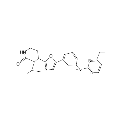 CCc1ccnc(Nc2cccc(-c3cnc(C4CCNC(=O)C4C(C)C)o3)c2)n1